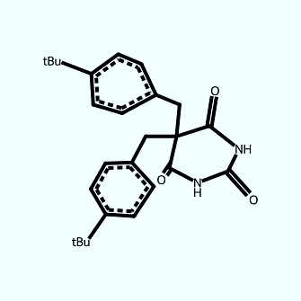 CC(C)(C)c1ccc(CC2(Cc3ccc(C(C)(C)C)cc3)C(=O)NC(=O)NC2=O)cc1